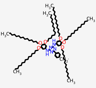 [CH2]c1ccc(-c2nc(Nc3cc(OCCCCCCCCCCCCCCC)c(OCCCCCCCCCCCCCCC)c(OCCCCCCCCCCCCCCC)c3)nc(Nc3cc(OCCCCCCCCCCCCCCC)c(OCCCCCCCCCCCCCCC)c(OCCCCCCCCCCCCCCC)c3)n2)cc1